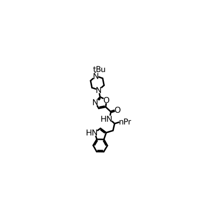 CCCC(Cc1c[nH]c2ccccc12)NC(=O)c1cnc(N2CCN(C(C)(C)C)CC2)o1